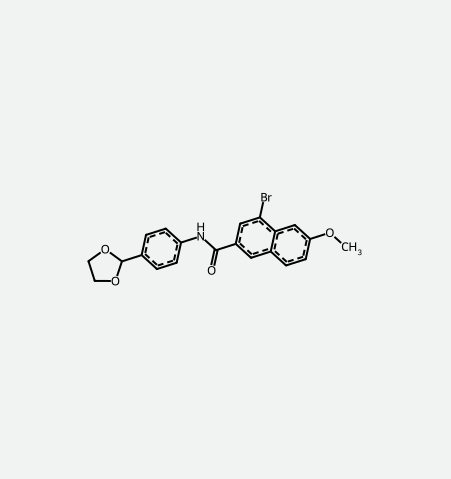 COc1ccc2cc(C(=O)Nc3ccc(C4OCCO4)cc3)cc(Br)c2c1